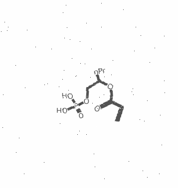 C=CC(=O)OC(CCC)COP(=O)(O)O